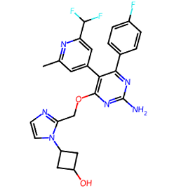 Cc1cc(-c2c(OCc3nccn3C3CC(O)C3)nc(N)nc2-c2ccc(F)cc2)cc(C(F)F)n1